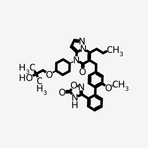 CCCc1c(Cc2ccc(-c3ccccc3-c3noc(=O)[nH]3)c(OC)c2)c(=O)n([C@H]2CC[C@H](OCC(C)(C)O)CC2)c2ccnn12